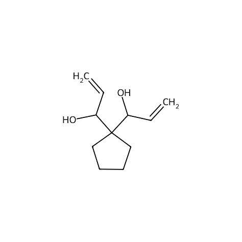 C=CC(O)C1(C(O)C=C)CCCC1